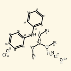 CCO[SiH](OCC)OCC.N.[Cl-].[Cl-].[Cl-].[Cr+3].c1ccc(Pc2ccccc2)cc1